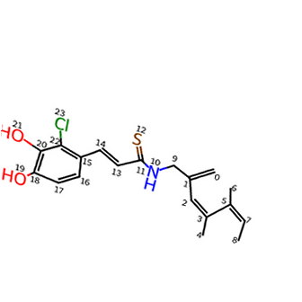 C=C(/C=C(C)\C(C)=C/C)CNC(=S)/C=C/c1ccc(O)c(O)c1Cl